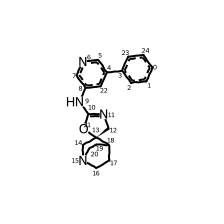 c1ccc(-c2cncc(NC3=NC[C@@]4(CN5CCC4CC5)O3)c2)cc1